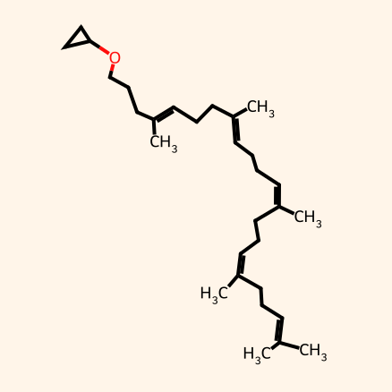 CC(C)=CCCC(C)=CCCC(C)=CCCC=C(C)CCC=C(C)CCCOC1CC1